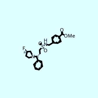 COC(=O)c1ccc(CNS(=O)(=O)CC[C@H](c2ccccc2)N2CC[C@@H](F)C2)cc1